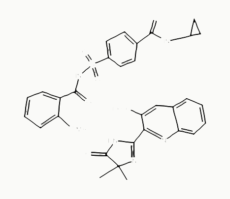 CC(C)C1(C)N=C(c2nc3ccccc3cc2C(=O)O)NC1=O.COc1ccccc1C(=O)NS(=O)(=O)c1ccc(C(=O)NC2CC2)cc1